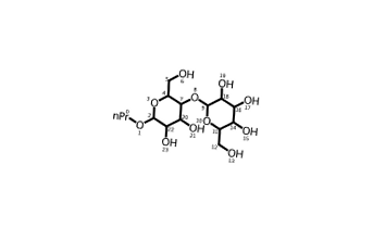 CCCOC1OC(CO)C(OC2OC(CO)C(O)C(O)C2O)C(O)C1O